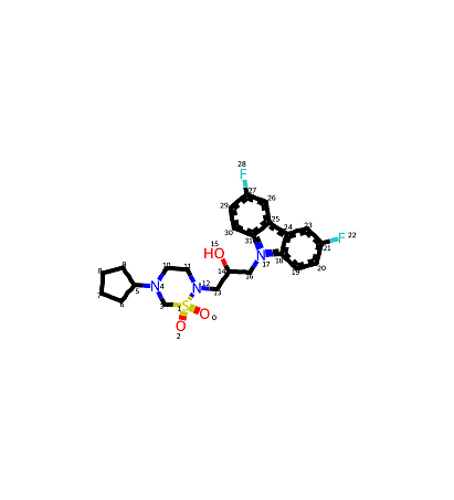 O=S1(=O)CN(C2CCCC2)CCN1CC(O)Cn1c2ccc(F)cc2c2cc(F)ccc21